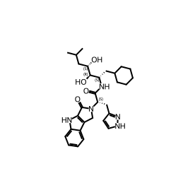 CC(C)C[C@H](O)[C@H](O)[C@H](CC1CCCCC1)NC(=O)[C@H](Cc1cc[nH]n1)N1Cc2c([nH]c3ccccc23)C1=O